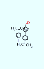 CC(C)c1ccc(-c2ccc(C=O)cc2)cc1.CC(C)c1ccc(I)cc1